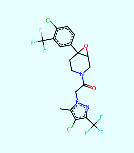 Cc1c(Cl)c(C(F)(F)F)nn1CC(=O)N1CCC2(c3ccc(Cl)c(C(F)(F)F)c3)OC2C1